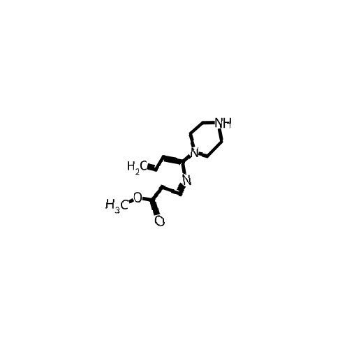 C=C/C=C(\N=C/CC(=O)OC)N1CCNCC1